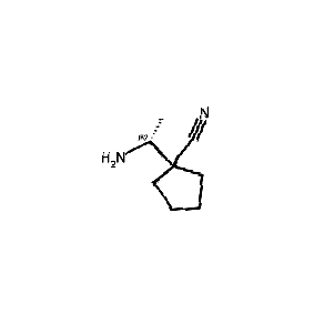 C[C@@H](N)C1(C#N)CCCC1